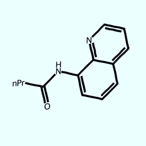 CCCC(=O)Nc1cccc2cccnc12